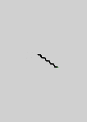 CCCCCCCCC(C=CCCCCCCCBr)CCCCCCCC